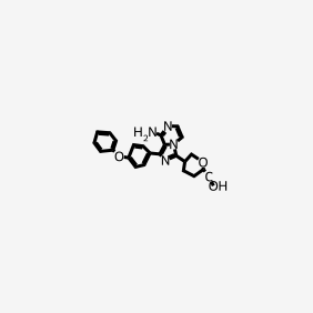 Nc1nccn2c(C3CCC(CO)OC3)nc(-c3ccc(Oc4ccccc4)cc3)c12